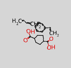 C=CC=C.C=Cc1ccccc1.O=C(O)C1CCC(C(=O)O)CC1